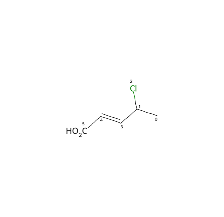 CC(Cl)C=CC(=O)O